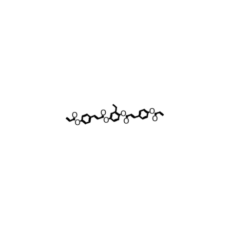 C=CC(=O)Oc1ccc(/C=C/C(=O)Oc2ccc(OC(=O)/C=C/c3ccc(OC(=O)C=C)cc3)c(CC)c2)cc1